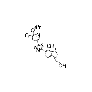 Cc1c(-c2nnc(-c3cnc(OC(C)C)c(Cl)c3)s2)ccc2c1CC[C@@H]2CCO